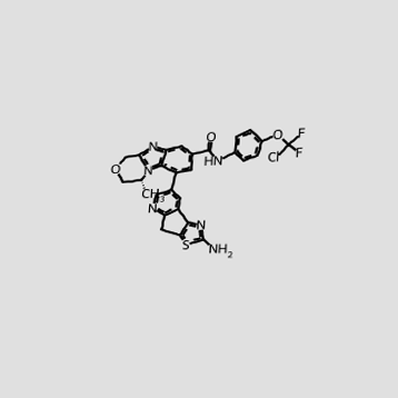 C[C@@H]1COCc2nc3cc(C(=O)Nc4ccc(OC(F)(F)Cl)cc4)cc(-c4cnc5c(c4)-c4nc(N)sc4C5)c3n21